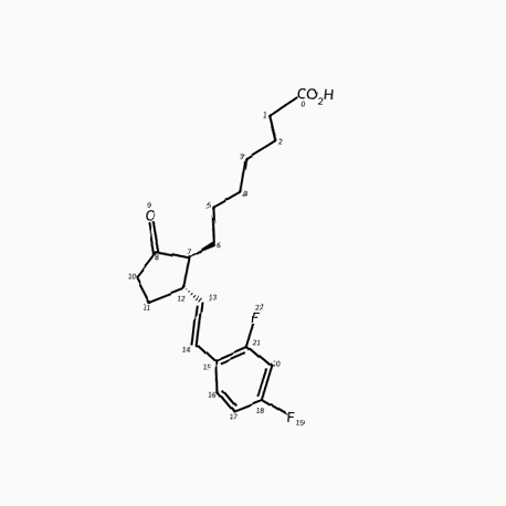 O=C(O)CCCCCC[C@@H]1C(=O)CC[C@H]1C=Cc1ccc(F)cc1F